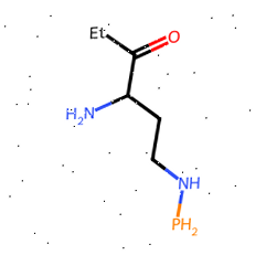 CCC(=O)C(N)CCNP